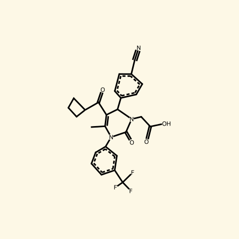 CC1=C(C(=O)C2CCC2)C(c2ccc(C#N)cc2)N(CC(=O)O)C(=O)N1c1cccc(C(F)(F)F)c1